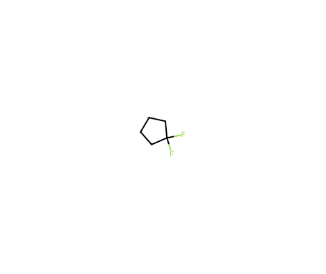 FC1(F)C[CH]CC1